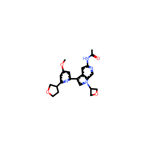 COc1cc(-c2cn(C3COC3)c3cnc(NC(C)=O)cc23)nc(C2CCOC2)c1